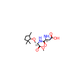 COC(=O)[C@H](COC1C(C)CCC1(C)C)NC(=O)[C@@H](N)CC(=O)O